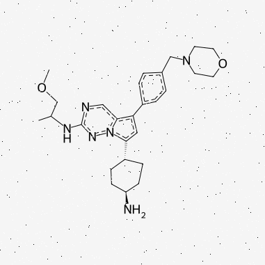 COCC(C)Nc1ncc2c(-c3ccc(CN4CCOCC4)cc3)cc([C@H]3CC[C@H](N)CC3)n2n1